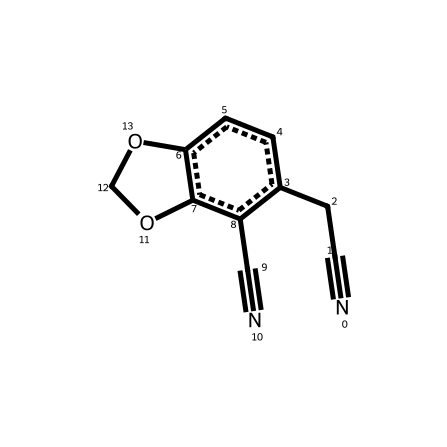 N#CCc1ccc2c(c1C#N)OCO2